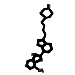 Cc1cccc2[nH]c(-c3cccc4c3ccn4CCCCC3CCNCC3)nc12